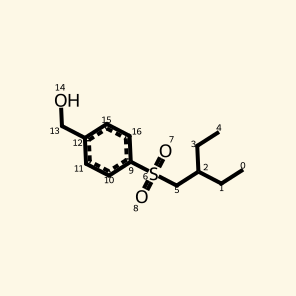 CCC(CC)CS(=O)(=O)c1ccc(CO)cc1